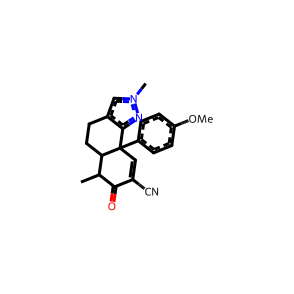 COc1ccc(C23C=C(C#N)C(=O)C(C)C2CCc2cn(C)nc23)cc1